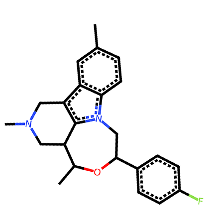 Cc1ccc2c(c1)c1c3n2CC(c2ccc(F)cc2)OC(C)C3CN(C)C1